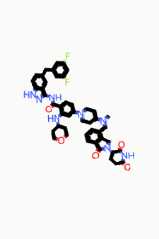 CN(Cc1cccc2c1CN(C1CCC(=O)NC1=O)C2=O)C1CCN(c2ccc(C(=O)Nc3n[nH]c4ccc(Cc5cc(F)cc(F)c5)cc34)c(NC3CCOCC3)c2)CC1